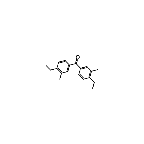 CCc1ccc(C(=O)c2ccc(CC)c(C)c2)cc1C